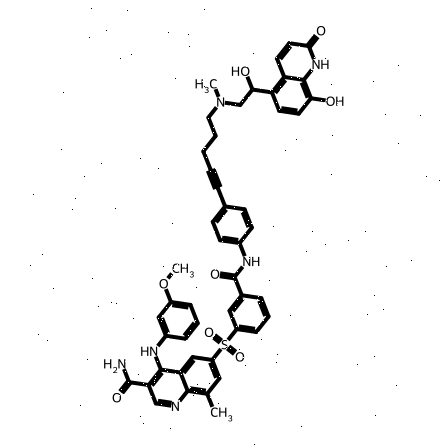 COc1cccc(Nc2c(C(N)=O)cnc3c(C)cc(S(=O)(=O)c4cccc(C(=O)Nc5ccc(C#CCCCN(C)CC(O)c6ccc(O)c7[nH]c(=O)ccc67)cc5)c4)cc23)c1